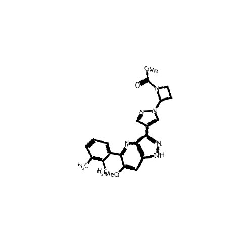 COC(=O)N1CCC1n1cc(-c2n[nH]c3cc(OC)c(-c4cccc(C)c4C)nc23)cn1